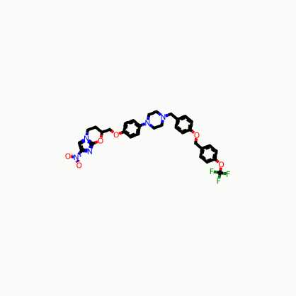 O=[N+]([O-])c1cn2c(n1)OC(COc1ccc(N3CCN(Cc4ccc(OCc5ccc(OC(F)(F)F)cc5)cc4)CC3)cc1)CC2